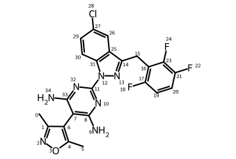 Cc1noc(C)c1-c1c(N)nc(-n2nc(Cc3c(F)ccc(F)c3F)c3cc(Cl)ccc32)nc1N